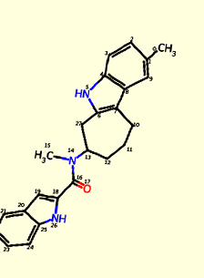 Cc1ccc2[nH]c3c(c2c1)CCCC(N(C)C(=O)c1cc2ccccc2[nH]1)C3